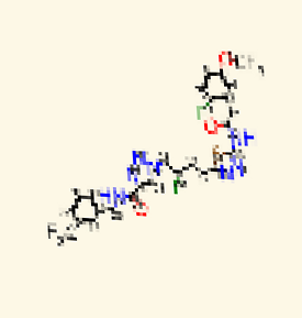 O=C(Cc1cc(OC(F)(F)F)ccc1F)Nc1nnc(CCC(F)Cn2cc(C(=O)NCc3cccc(C(F)(F)F)c3)nn2)s1